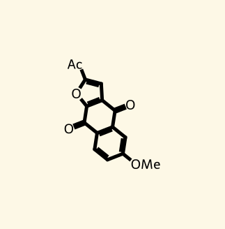 COc1ccc2c(c1)C(=O)c1cc(C(C)=O)oc1C2=O